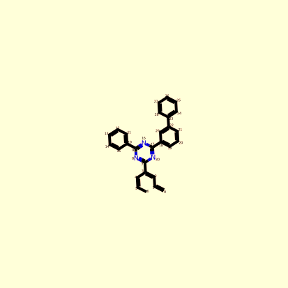 C=C/C=C(\C=C/C)c1nc(-c2ccccc2)nc(-c2cccc(-c3ccccc3)c2)n1